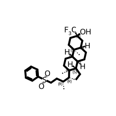 C[C@H](CCS(=O)(=O)c1ccccc1)[C@H]1CC[C@H]2[C@@H]3CC[C@H]4C[C@](O)(C(F)(F)F)CC[C@]4(C)[C@H]3CC[C@]12C